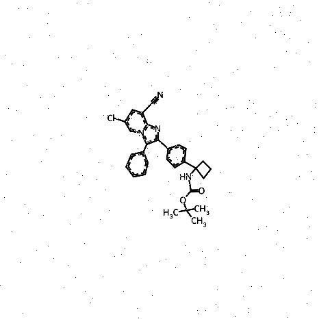 CC(C)(C)OC(=O)NC1(c2ccc(-c3nc4c(C#N)cc(Cl)cn4c3-c3ccccc3)cc2)CCC1